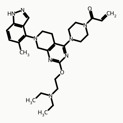 C=CC(=O)N1CCN(c2nc(OCCN(CC)CC)nc3c2CCN(c2c(C)ccc4[nH]ncc24)C3)CC1